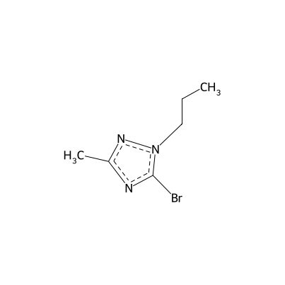 CCCn1nc(C)nc1Br